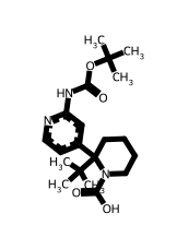 CC(C)(C)OC(=O)Nc1cc(C2(C(C)(C)C)CCCCN2C(=O)O)ccn1